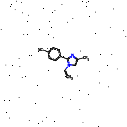 C=Cn1cc(C(F)(F)F)nc1-c1ccc(C#N)cc1